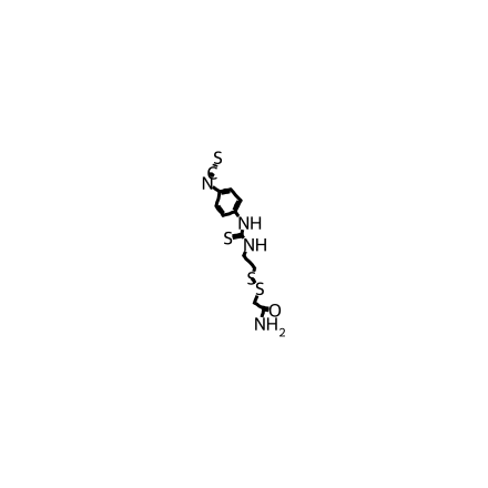 NC(=O)CSSCCNC(=S)Nc1ccc(N=C=S)cc1